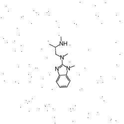 CNC(C)CN(C)c1nc2ccccc2n1C